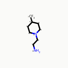 NCCN1CCC(C(F)(F)F)CC1